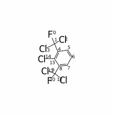 FC(Cl)(Cl)c1cccc(C(F)(Cl)Cl)c1Cl